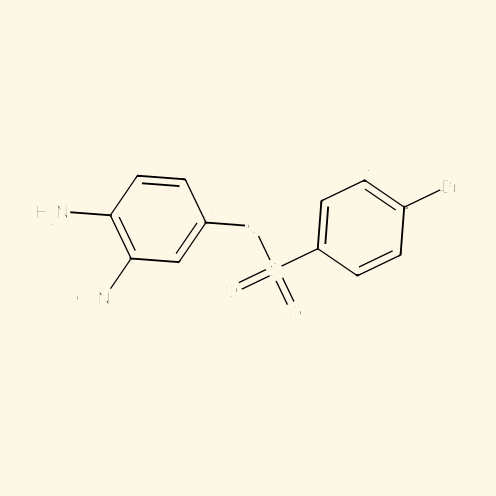 Nc1ccc(OS(=O)(=O)c2ccc(Br)cc2)cc1[N+](=O)[O-]